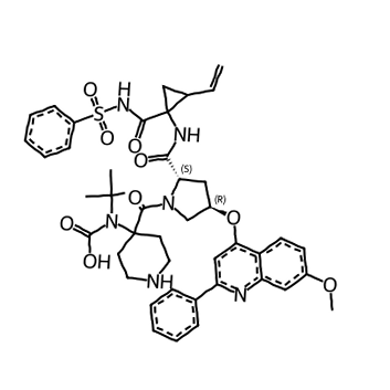 C=CC1CC1(NC(=O)[C@@H]1C[C@@H](Oc2cc(-c3ccccc3)nc3cc(OC)ccc23)CN1C(=O)C1(N(C(=O)O)C(C)(C)C)CCNCC1)C(=O)NS(=O)(=O)c1ccccc1